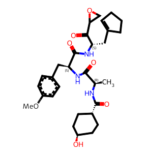 COc1ccc(C[C@H](NC(=O)[C@@H](C)NC(=O)[C@H]2CC[C@H](O)CC2)C(=O)N[C@@H](CC2=CCCC2)C(=O)C2CO2)cc1